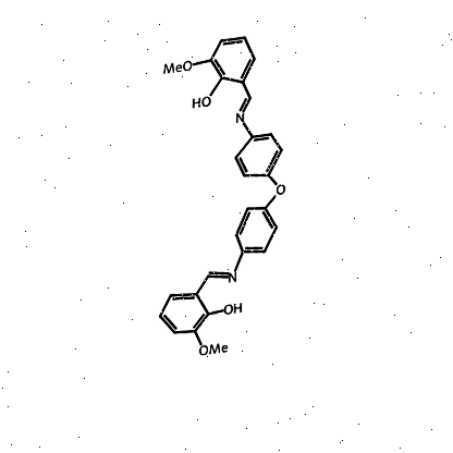 COc1cccc(C=Nc2ccc(Oc3ccc(N=Cc4cccc(OC)c4O)cc3)cc2)c1O